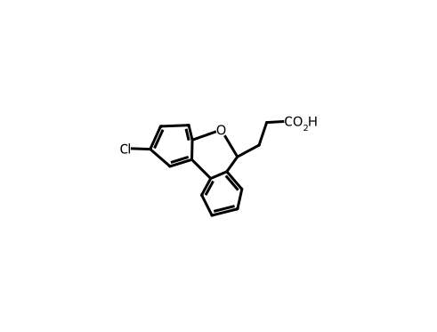 O=C(O)CCC1Oc2ccc(Cl)cc2-c2ccccc21